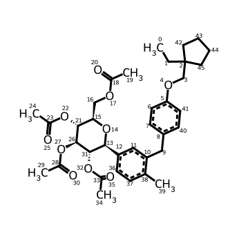 CCC1(COc2ccc(Cc3cc([C@@H]4O[C@H](COC(C)=O)[C@@H](OC(C)=O)[C@H](OC(C)=O)[C@H]4OC(C)=O)ccc3C)cc2)CCCC1